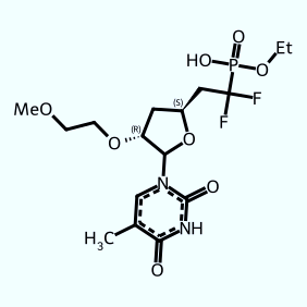 CCOP(=O)(O)C(F)(F)C[C@@H]1C[C@@H](OCCOC)C(n2cc(C)c(=O)[nH]c2=O)O1